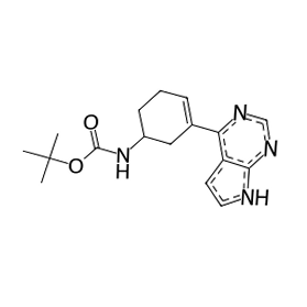 CC(C)(C)OC(=O)NC1CCC=C(c2ncnc3[nH]ccc23)C1